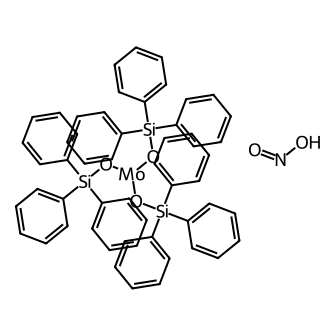 O=NO.c1ccc([Si]([O][Mo]([O][Si](c2ccccc2)(c2ccccc2)c2ccccc2)[O][Si](c2ccccc2)(c2ccccc2)c2ccccc2)(c2ccccc2)c2ccccc2)cc1